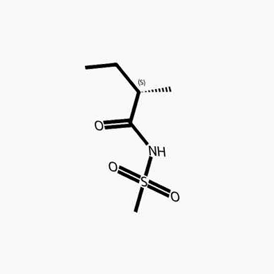 CC[C@H](C)C(=O)NS(C)(=O)=O